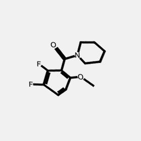 COc1ccc(F)c(F)c1C(=O)N1CCCCC1